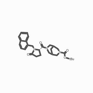 CC(C)(C)OC(=O)N1CC2CC(C1)CN(C(=O)[C@@H]1CCC(=O)N1Cc1cccc3ccccc13)C2